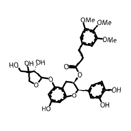 COc1cc(CCC(=O)O[C@@H]2Cc3c(OC4OCC(O)(CO)[C@@H]4O)cc(O)cc3O[C@@H]2c2ccc(O)c(O)c2)cc(OC)c1OC